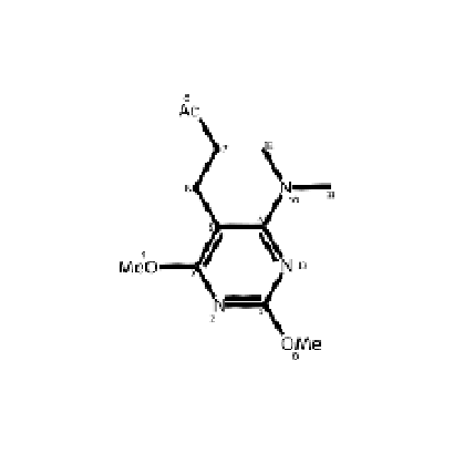 COc1nc(OC)c(CCC(C)=O)c(N(C)C)n1